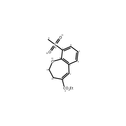 CCOC(=O)C1=Cc2cccc(S(C)(=O)=O)c2OCC1